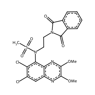 COc1nc2cc(Cl)c(Cl)c(N(CCN3C(=O)c4ccccc4C3=O)S(C)(=O)=O)c2nc1OC